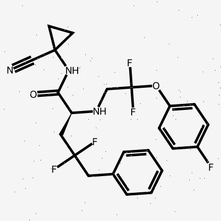 N#CC1(NC(=O)[C@H](CC(F)(F)Cc2ccccc2)NCC(F)(F)Oc2ccc(F)cc2)CC1